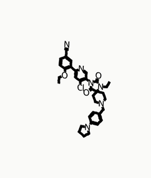 CCOc1ccc(C#N)cc1-c1cc(Cl)c(N2C(=O)N(CC)C3(CCN(Cc4ccc(N5CCCC5)cc4)CC3)C2=O)cn1